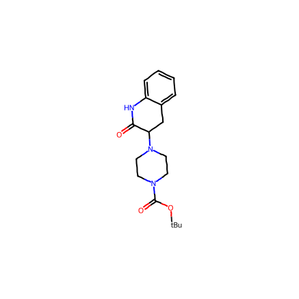 CC(C)(C)OC(=O)N1CCN(C2Cc3ccccc3NC2=O)CC1